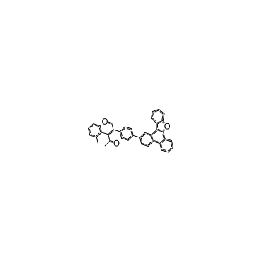 CC(=O)/C(=C(/C=O)c1ccc(-c2ccc3c4ccccc4c4oc5ccccc5c4c3c2)cc1)c1ccccc1C